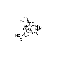 COc1ccc(C(=O)O)cc1S(=O)(=O)Nc1cc(-n2cnnn2)ccc1N1CCC[C@@H](F)C1